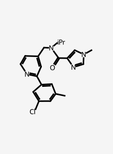 Cc1cc(Cl)cc(-c2cc(CN(C(=O)c3cn(C)cn3)C(C)C)ccn2)c1